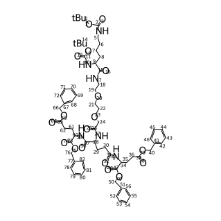 CC(C)(C)OC(=O)NCCCCC(NC(=O)OC(C)(C)C)C(=O)NCCOCCOCC(=O)NC(CCC(=O)NC(CCC(=O)OCc1ccccc1)C(=O)OCc1ccccc1)C(=O)NC(CCC(=O)OCc1ccccc1)C(=O)OCc1ccccc1